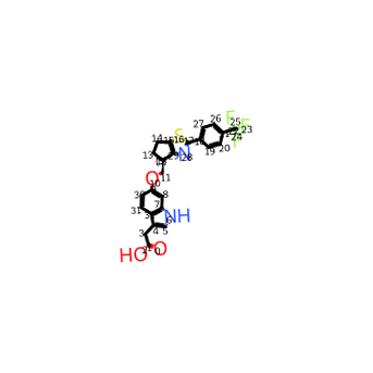 O=C(O)Cc1c[nH]c2cc(OC[C@H]3CCc4sc(-c5ccc(C(F)(F)F)cc5)nc43)ccc12